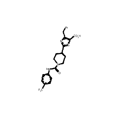 CC(C)Cc1nc(C2CCN(C(=O)Nc3ccc(C(F)(F)F)cc3)CC2)sc1C(=O)O